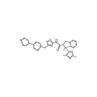 Cc1nc(C)c(C2(C)c3ccccc3CC2C(=O)Nc2nc(Cc3ccc(-c4ccncc4)cc3)cs2)s1